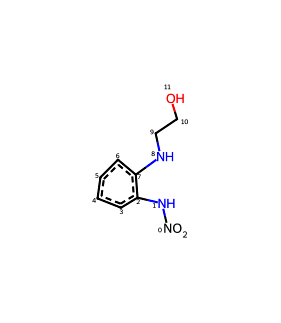 O=[N+]([O-])Nc1ccccc1NCCO